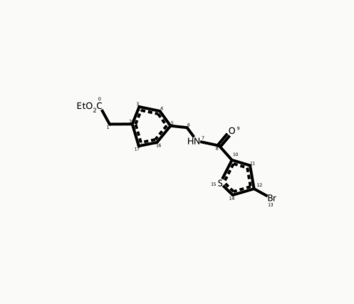 CCOC(=O)Cc1ccc(CNC(=O)c2cc(Br)cs2)cc1